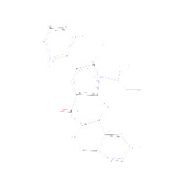 CCC(C)n1c(NC2CCCc3ncncc32)c(C(N)=O)cc(-c2ccccn2)c1=O